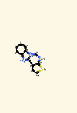 c1ccc2c(c1)nc1c3ccsc3ncn21